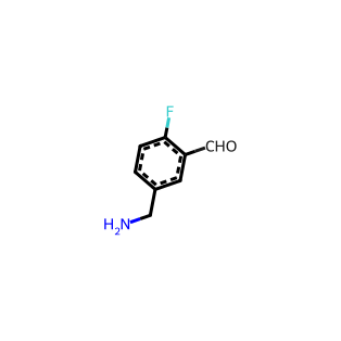 NCc1ccc(F)c(C=O)c1